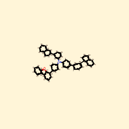 c1cc(-c2ccc(N(c3ccc(-c4cccc5c4oc4ccccc45)cc3)c3cccc(-c4ccc5ccccc5c4)c3)cc2)cc(-c2cccc3ccccc23)c1